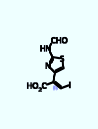 O=CNc1nc(/C(=C\I)C(=O)O)cs1